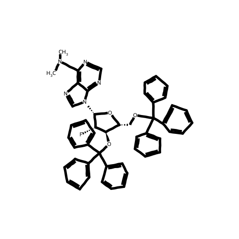 CN(C)c1ncnc2c1ncn2[C@@H]1O[C@H](COC(c2ccccc2)(c2ccccc2)c2ccccc2)[C@@H](OC(c2ccccc2)(c2ccccc2)c2ccccc2)[C@@H]1F